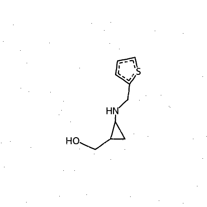 OCC1CC1NCc1cccs1